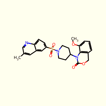 COc1cccc2c1N(C1CCN(S(=O)(=O)c3ccc4ncc(C)cc4c3)CC1)C(=O)OC2